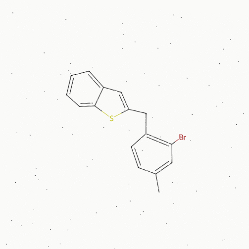 Cc1ccc(Cc2cc3ccccc3s2)c(Br)c1